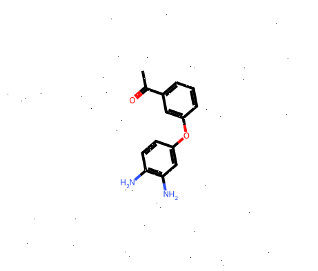 CC(=O)c1cccc(Oc2ccc(N)c(N)c2)c1